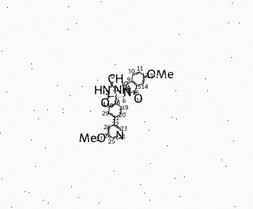 C=C1NC(=O)[C@](CN2Cc3ccc(OC)cc3C2=O)(c2ccc(-c3cncc(OC)c3)cc2)N1